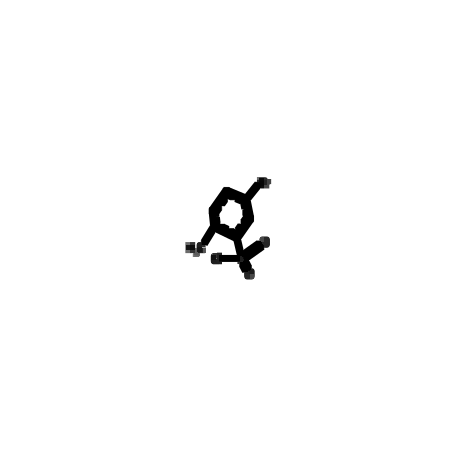 Cc1ccc(C(C)C)cc1S(=O)(=O)Cl